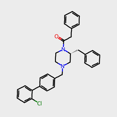 O=C(Cc1ccccc1)N1CCN(Cc2ccc(-c3ccccc3Cl)cc2)C[C@H]1Cc1ccccc1